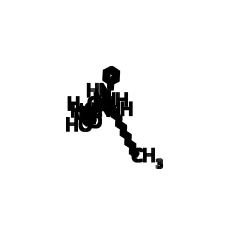 CCCCCCCCCCNC1=NC(C)(C)N=C(NCc2ccccc2)N1.O=C(O)C(=O)O